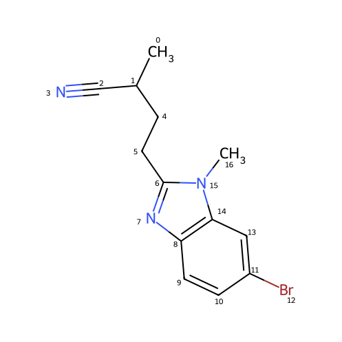 CC(C#N)CCc1nc2ccc(Br)cc2n1C